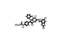 COC(=O)Nc1ccc(-c2nc([C@H](Cc3ccccc3)NC(=O)NCc3cc(Cl)cc4sc(Cl)nc34)[nH]c2Cl)cc1